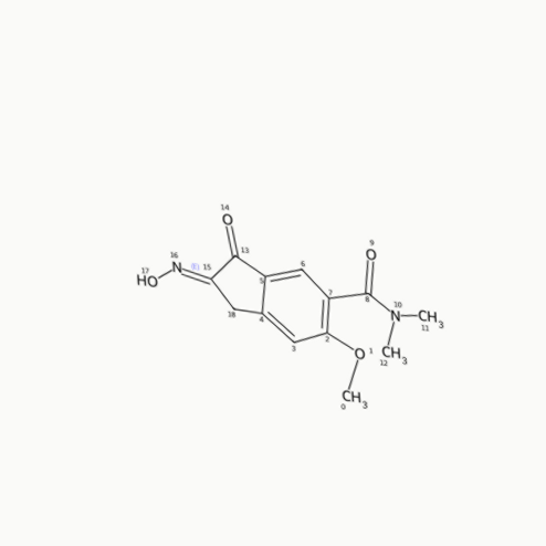 COc1cc2c(cc1C(=O)N(C)C)C(=O)/C(=N/O)C2